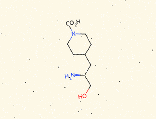 N[C@H](CO)CC1CCN(C(=O)O)CC1